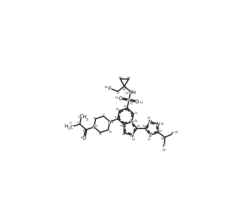 CC(C)C(=O)N1CCN(c2cc(S(=O)(=O)NC3(CF)CC3)cn3c(-c4nnc(C(F)F)s4)ncc23)CC1